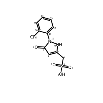 O=c1cc(CS(=O)(=O)O)[nH]n1-c1ccccc1Cl